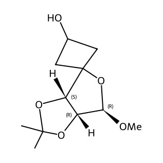 CO[C@@H]1OC2(CC(O)C2)[C@H]2OC(C)(C)O[C@@H]12